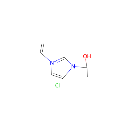 C=C[n+]1ccn(C(C)O)c1.[Cl-]